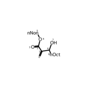 C=C(C(=O)OCCCCCCCCC)C(O)CCCCCCCC